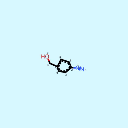 N#[N+]c1ccc(CO)cc1